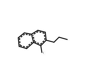 [CH]c1c(CCC)ccc2ccccc12